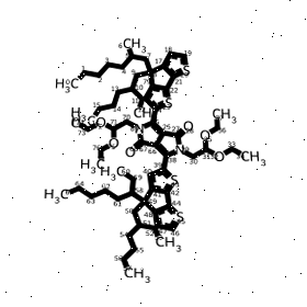 CCCCCC(C)CC1(CC(CC)CCCC)c2ccsc2-c2sc(C3=C4C(=O)N(CC(OCC)OCC)C(c5cc6c(s5)-c5sccc5C6(CC(CC)CCCC)C(CC)CCCCC)=C4C(=O)N3CC(OCC)OCC)cc21